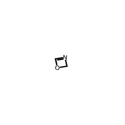 C1=NCO1